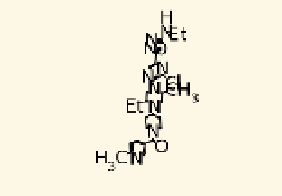 CCNc1nnc(-c2cnc(N3CC(CC)N(C4CCN(C(=O)c5ccc(C)nc5)CC4)CC3C)c(Cl)n2)o1